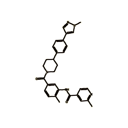 Cc1cc(C(=O)Nc2cc(C(=O)N3CCC(c4ccc(-c5cnn(C)c5)cc4)CC3)ccc2C)ccn1